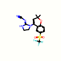 CC1(C)C=C(N2CCNC2=NC#N)c2cc(S(=O)(=O)C(F)(F)F)ccc2O1